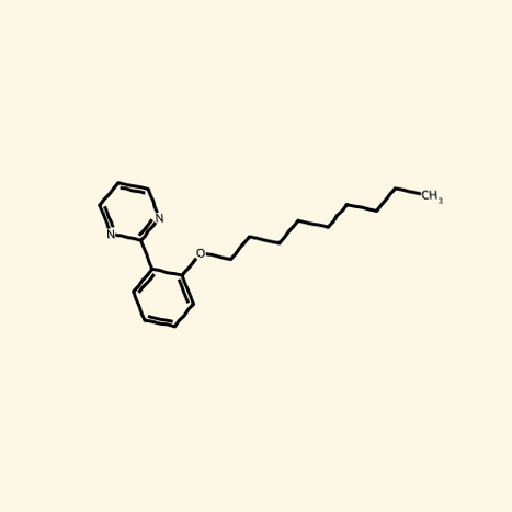 CCCCCCCCCOc1ccccc1-c1ncccn1